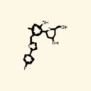 Cc1cc(O)c(C2CC(O)CC(CO)O2)cc1Cc1ccc(-c2ccc(F)cc2)s1